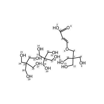 O=C(O)C=COCC(CO)(CO)CO.OCC(CO)(CO)CO.OCC(CO)(CO)CO